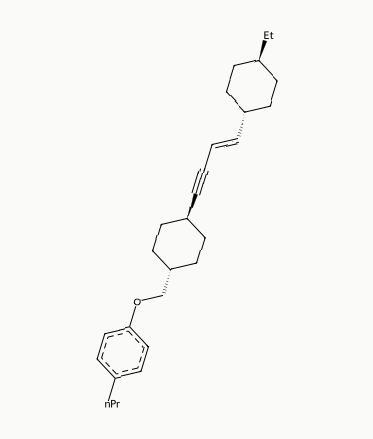 CCCc1ccc(OC[C@H]2CC[C@H](C#CC=C[C@H]3CC[C@H](CC)CC3)CC2)cc1